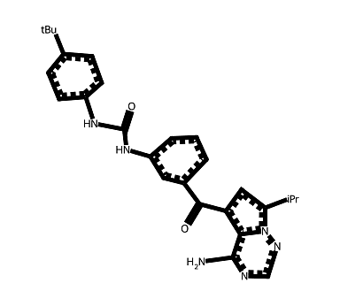 CC(C)c1cc(C(=O)c2cccc(NC(=O)Nc3ccc(C(C)(C)C)cc3)c2)c2c(N)ncnn12